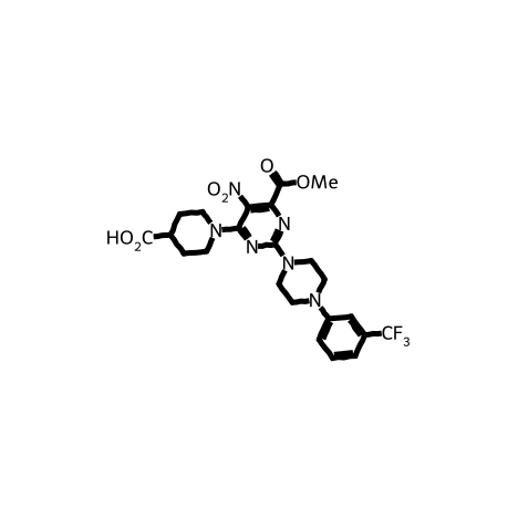 COC(=O)c1nc(N2CCN(c3cccc(C(F)(F)F)c3)CC2)nc(N2CCC(C(=O)O)CC2)c1[N+](=O)[O-]